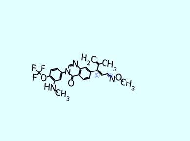 C=C(C)/C(=C\C=N\OC)c1ccc2c(=O)n(-c3ccc(OC(F)(F)F)c(NC)c3)cnc2c1